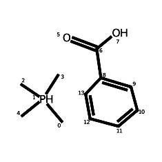 C[PH](C)(C)C.O=C(O)c1ccccc1